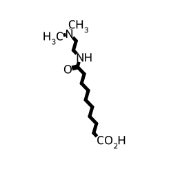 CN(C)CCNC(=O)CCCCCCCCC(=O)O